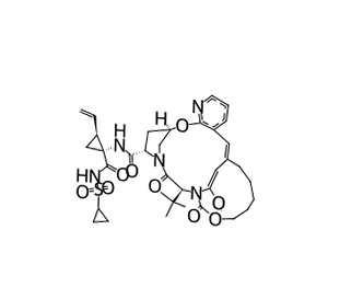 C=C[C@@H]1C[C@]1(NC(=O)[C@@H]1C[C@@H]2CN1C(=O)[C@H](C(C)(C)C)N1C(=O)OCCCCCC(=C/c3cccnc3O2)/C=C/1OC)C(=O)NS(=O)(=O)C1CC1